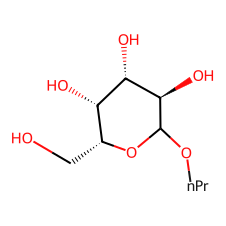 CCCOC1O[C@H](CO)[C@H](O)[C@H](O)[C@H]1O